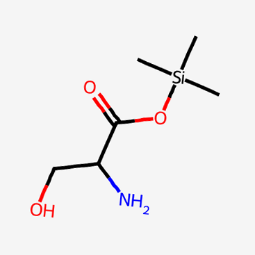 C[Si](C)(C)OC(=O)C(N)CO